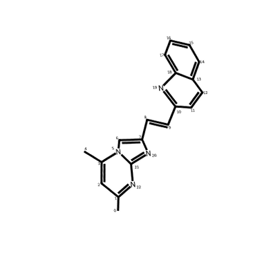 Cc1cc(C)n2cc(C=Cc3ccc4ccccc4n3)nc2n1